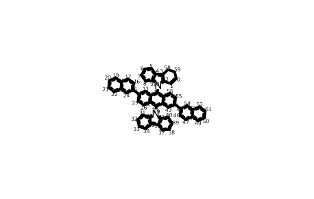 C1=Cc2c(c3ccccc3n2-c2c3cc(-c4ccc5ccccc5c4)ccc3c(-n3c4ccccc4c4ccccc43)c3cc(-c4ccc5ccccc5c4)ccc23)CC1